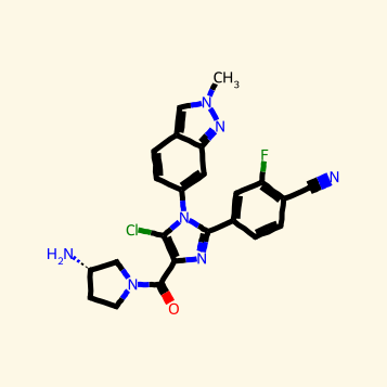 Cn1cc2ccc(-n3c(-c4ccc(C#N)c(F)c4)nc(C(=O)N4CC[C@H](N)C4)c3Cl)cc2n1